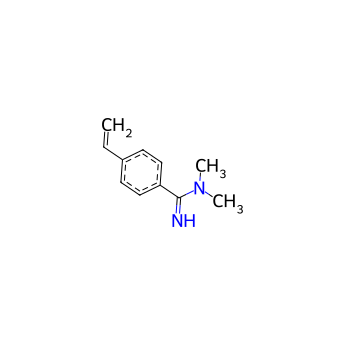 C=Cc1ccc(C(=N)N(C)C)cc1